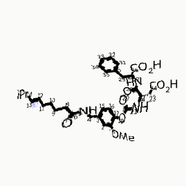 COc1cc(CNC(=O)CCCC/C=C/C(C)C)ccc1OC(=O)N[C@@H](CC(=O)O)C(=O)N[C@@H](Cc1ccccc1)C(=O)O